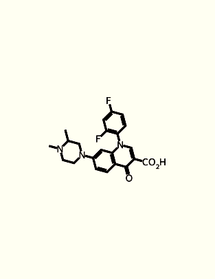 CC1CN(c2ccc3c(=O)c(C(=O)O)cn(-c4ccc(F)cc4F)c3c2)CCN1C